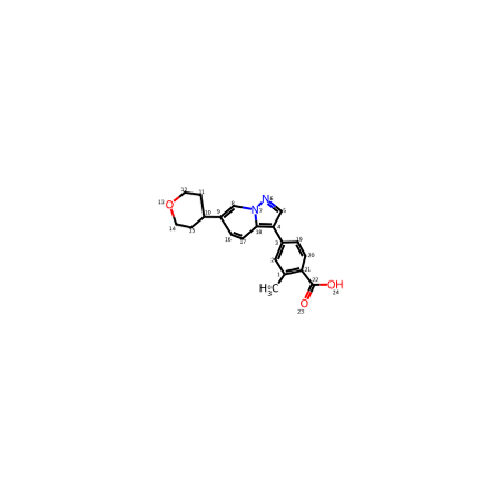 Cc1cc(-c2cnn3cc(C4CCOCC4)ccc23)ccc1C(=O)O